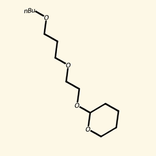 CCCCOCCCOCCOC1CCCCO1